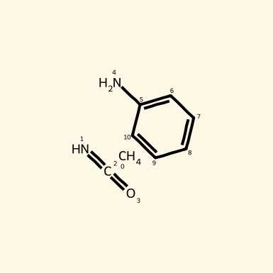 C.N=C=O.Nc1ccccc1